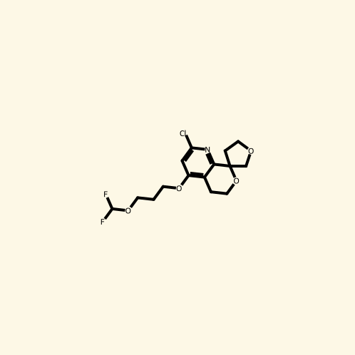 FC(F)OCCCOc1cc(Cl)nc2c1CCOC21CCOC1